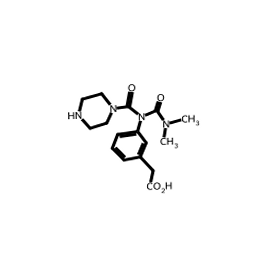 CN(C)C(=O)N(C(=O)N1CCNCC1)c1cccc(CC(=O)O)c1